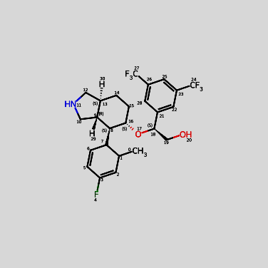 CC1C=C(F)C=CC1[C@H]1[C@@H]2CNC[C@H]2CC[C@@H]1O[C@H](CO)c1cc(C(F)(F)F)cc(C(F)(F)F)c1